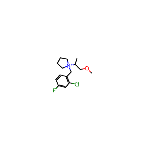 COCC(C)[N+]1(Cc2ccc(F)cc2Cl)CCCC1